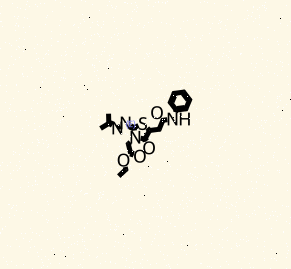 CCOC(=O)CN1C(=O)C(CC(=O)Nc2ccccc2)S/C1=N/N=C(C)C